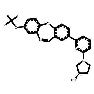 O[C@@H]1CCN(c2cccc(-c3ccc4c(c3)C=Nc3cc(OC(F)(F)F)ccc3O4)n2)C1